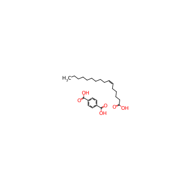 CCCCCCCCC/C=C\CCCCC(=O)O.O=C(O)c1ccc(C(=O)O)cc1